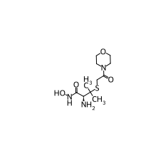 CC(C)(SCC(=O)N1CCOCC1)[C@@H](N)C(=O)NO